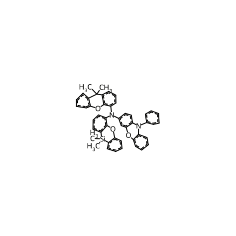 CC1(C)c2ccccc2Oc2c(N(c3ccc4c(c3)Oc3ccccc3N4c3ccccc3)c3cccc4c3Oc3ccccc3[Si]4(C)C)cccc21